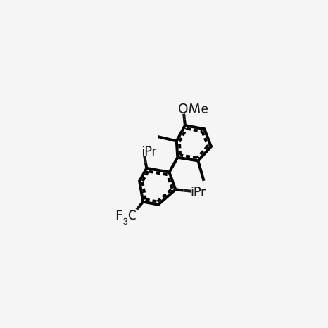 COc1ccc(C)c(-c2c(C(C)C)cc(C(F)(F)F)cc2C(C)C)c1C